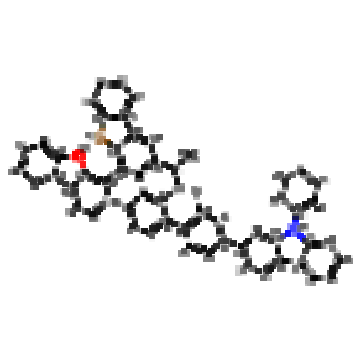 CCC(Cc1ccccc1-c1ccc(-c2ccc3c4ccccc4n(-c4ccccc4)c3c2)cc1C)c1cc(-c2cccc3c2oc2ccccc23)c2sc3ccccc3c2c1